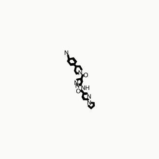 N#Cc1ccc(C2CCN(C(=O)c3cnnc(NC(=O)c4ccc(N5CCCC5)nc4)c3)CC2)cc1